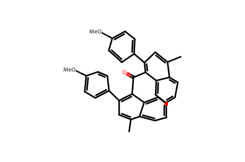 COc1ccc(-c2cc(C)c3ccccc3c2C(=O)c2c(-c3ccc(OC)cc3)cc(C)c3ccccc23)cc1